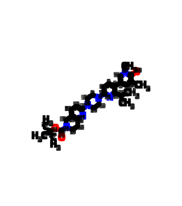 Cc1cc(-c2ccc(N3CCN(c4ccc5c(n4)CCN(C(=O)OC(C)(C)C)C5)CC3)nc2C(C)C)cn(C)c1=O